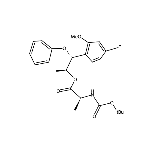 COc1cc(F)ccc1[C@@H](Oc1ccccc1)[C@H](C)OC(=O)[C@H](C)NC(=O)OC(C)(C)C